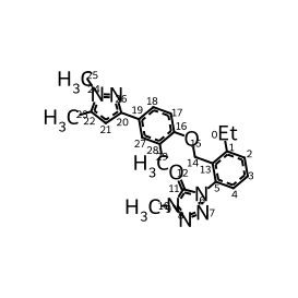 CCc1cccc(-n2nnn(C)c2=O)c1COc1ccc(-c2cc(C)n(C)n2)cc1C